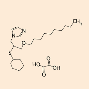 CCCCCCCCCCOCC(Cn1ccnc1)SC1CCCCC1.O=C(O)C(=O)O